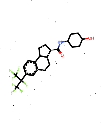 O=C(NC1CCC(O)CC1)[C@@H]1CCC2c3ccc(C(F)(C(F)(F)F)C(F)(F)F)cc3CCC21